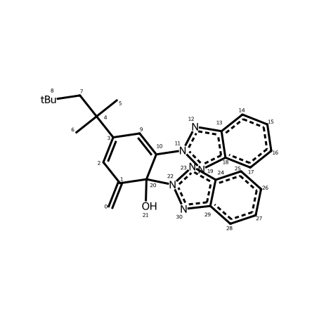 C=C1C=C(C(C)(C)CC(C)(C)C)C=C(n2nc3ccccc3n2)C1(O)n1nc2ccccc2n1